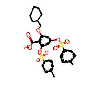 Cc1ccc(S(=O)(=O)Oc2cc(OCC3CCCCC3)c(C(=O)O)c(OS(=O)(=O)c3ccc(C)cc3)c2)cc1